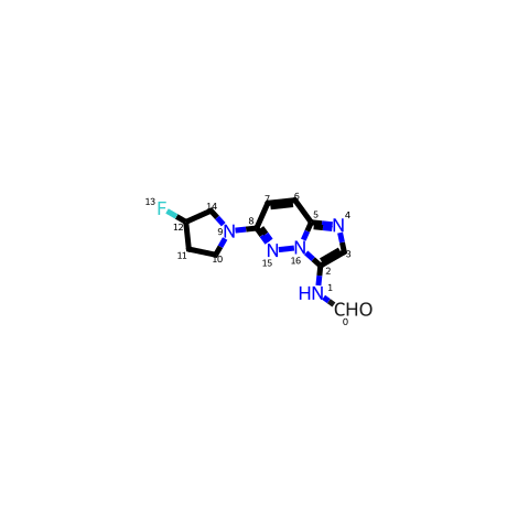 O=CNc1cnc2ccc(N3CCC(F)C3)nn12